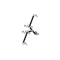 CCCCCCCCCCCC(C)OC(=O)CCN(CCC(=O)OC(C)CCCCCCCCCCC)CCc1c[nH]cn1